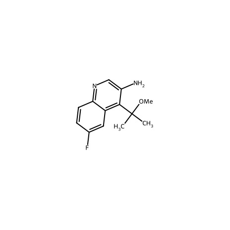 COC(C)(C)c1c(N)cnc2ccc(F)cc12